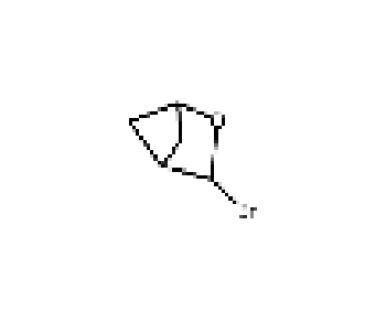 BrC1OC2CC1C2